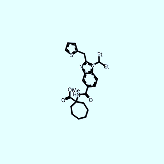 CCC(CC)n1c(Cc2cccs2)nc2cc(C(=O)NC3(C(=O)OC)CCCCCC3)ccc21